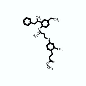 CCc1ccc(O[C@H](C)CCOc2ccc(CCC(=O)OC)c(C)c2)c(C(C)Cc2ccccc2)c1